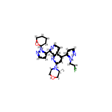 C[C@@H]1COCCN1c1cc(-c2ccnn2CCF)c2ccnc(-c3ccnn3C3CCCCO3)c2n1